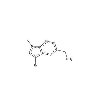 Cn1cc(Br)c2cc(CN)cnc21